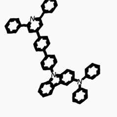 c1ccc(-c2cc(-c3ccc(-c4ccc(-n5c6ccccc6c6cc(N(c7ccccc7)c7ccccc7)ccc65)cc4)cc3)cc(-c3ccccc3)n2)cc1